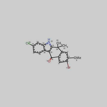 COc1cc2c(cc1Br)C(=O)c1c([nH]c3cc(Cl)ccc13)C2(C)C